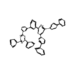 c1ccc(-c2ccc(-c3cc(-c4ccc(-c5ccccc5)cc4)nc(-c4cccc(-c5cccc(-c6nc(-c7ccccc7)nc(-c7ccccc7)n6)c5)c4)n3)cc2)cc1